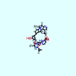 CCn1c(-c2cccnc2[C@H](C)OC)c2c3cc(ccc31)-c1cc(O)cc(c1)C[C@H](NC(=O)[C@H](C(C)C)N(C)C(=O)[C@H]1C[C@@H]1C)C(=O)N1CCC[C@@](O)(N1)C(=O)OCC(C)(C)C2